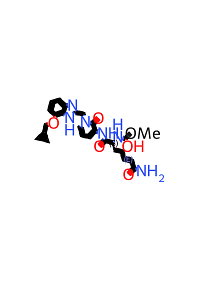 COC(O)N[C@@H](CC/C=C/C(N)=O)C(=O)Nc1cccn(Cc2nc3cccc(OCC4CC4)c3[nH]2)c1=O